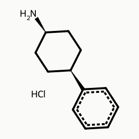 Cl.N[C@H]1CC[C@@H](c2ccccc2)CC1